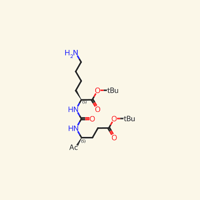 CC(=O)[C@H](CCC(=O)OC(C)(C)C)NC(=O)N[C@@H](CCCCN)C(=O)OC(C)(C)C